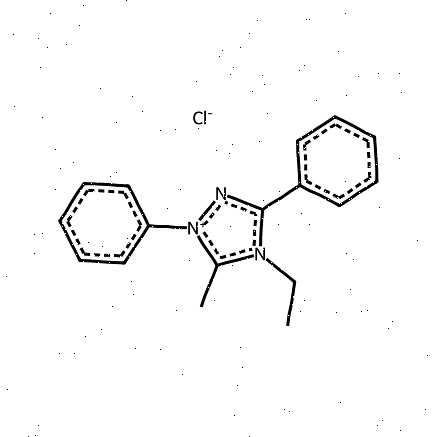 CCn1c(-c2ccccc2)n[n+](-c2ccccc2)c1C.[Cl-]